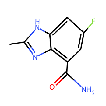 Cc1nc2c(C(N)=O)cc(F)cc2[nH]1